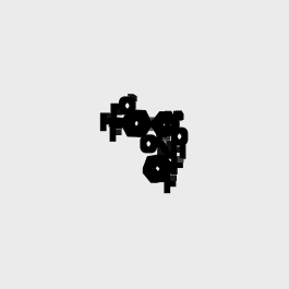 COc1cc([C@H]2CN(C)C(=O)[C@@H]2C(=O)Nc2cccc(F)c2F)ccc1C(F)(F)F